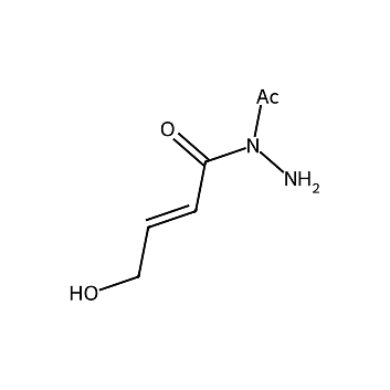 CC(=O)N(N)C(=O)C=CCO